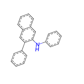 c1ccc(Nc2cc3ccccc3cc2-c2ccccc2)cc1